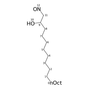 CCCCCCCCCCCCCCCCC(O)CN=O